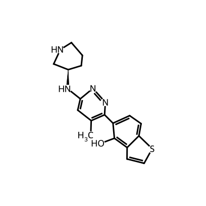 Cc1cc(N[C@@H]2CCCNC2)nnc1-c1ccc2sccc2c1O